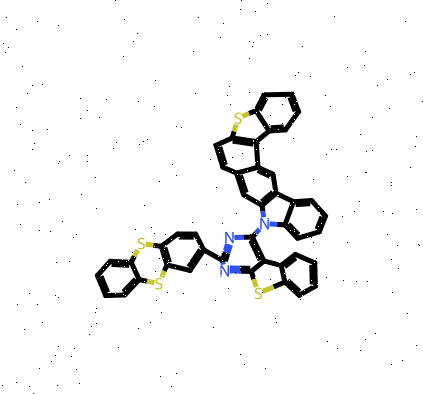 c1ccc2c(c1)Sc1ccc(-c3nc(-n4c5ccccc5c5cc6c(ccc7sc8ccccc8c76)cc54)c4c(n3)sc3ccccc34)cc1S2